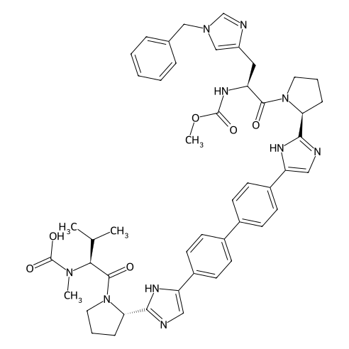 COC(=O)N[C@@H](Cc1cn(Cc2ccccc2)cn1)C(=O)N1CCC[C@H]1c1ncc(-c2ccc(-c3ccc(-c4cnc([C@@H]5CCCN5C(=O)[C@H](C(C)C)N(C)C(=O)O)[nH]4)cc3)cc2)[nH]1